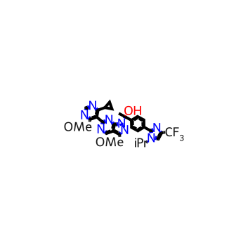 COc1ncnc(C2CC2)c1-c1ncc2c(OC)nn(C(C)(O)c3ccc(-c4nc(C(F)(F)F)cn4C(C)C)cc3)c2n1